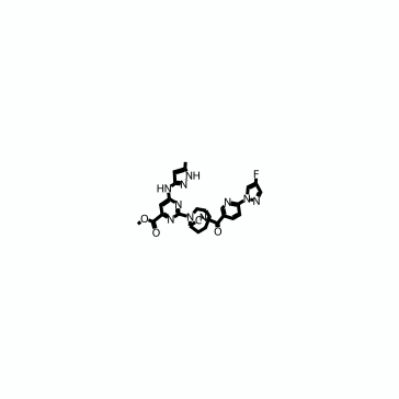 COC(=O)c1cc(Nc2cc(C)[nH]n2)nc(N2CC3CCCC2CN3C(=O)c2ccc(-n3cc(F)cn3)nc2)n1